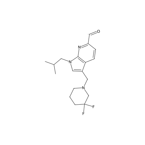 CC(C)Cn1cc(CN2CCCC(F)(F)C2)c2ccc([C]=O)nc21